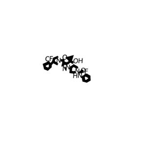 O=C(Nc1ccccc1F)N1CCC(n2ncc(C(=O)N3CCC(c4ccccc4C(F)(F)F)C3)c2C2(CO)CC2)CC1